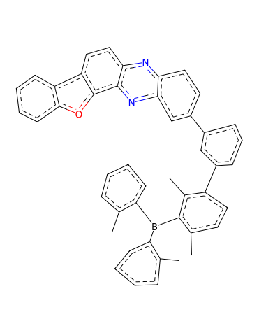 Cc1ccccc1B(c1ccccc1C)c1c(C)ccc(-c2cccc(-c3ccc4nc5ccc6c7ccccc7oc6c5nc4c3)c2)c1C